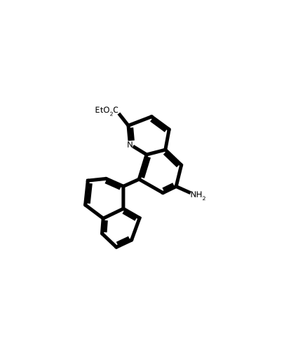 CCOC(=O)c1ccc2cc(N)cc(-c3cccc4ccccc34)c2n1